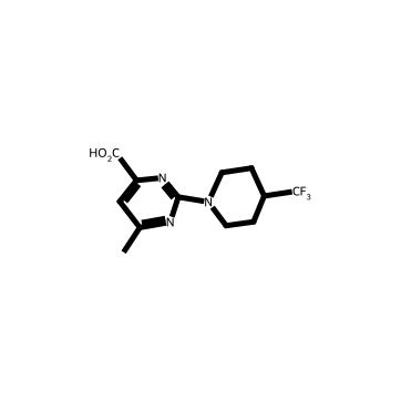 Cc1cc(C(=O)O)nc(N2CCC(C(F)(F)F)CC2)n1